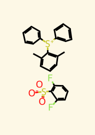 Cc1cccc(C)c1[S+](c1ccccc1)c1ccccc1.O=S(=O)([O-])c1c(F)cccc1F